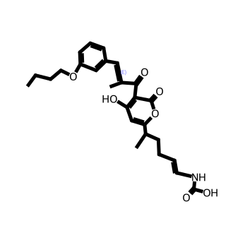 CCCCOc1cccc(/C=C(\C)C(=O)c2c(O)cc(C(C)CCC=CNC(=O)O)oc2=O)c1